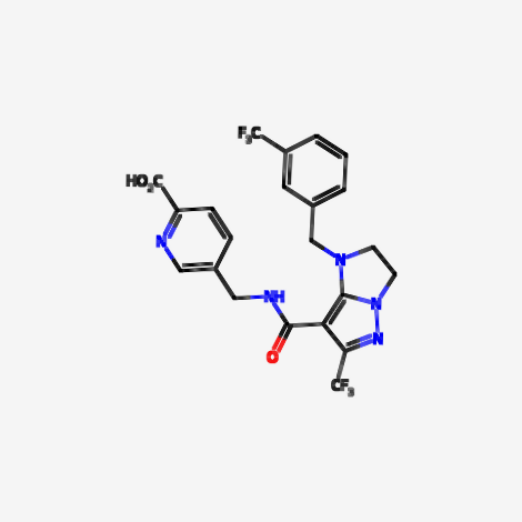 O=C(O)c1ccc(CNC(=O)c2c(C(F)(F)F)nn3c2N(Cc2cccc(C(F)(F)F)c2)CC3)cn1